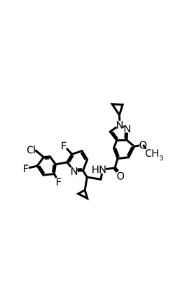 COc1cc(C(=O)NCC(c2ccc(F)c(-c3cc(Cl)c(F)cc3F)n2)C2CC2)cc2cn(C3CC3)nc12